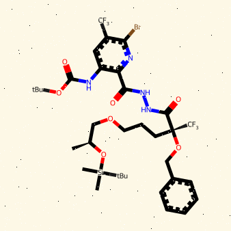 C[C@@H](COCCC[C@@](OCc1ccccc1)(C(=O)NNC(=O)c1nc(Br)c(C(F)(F)F)cc1NC(=O)OC(C)(C)C)C(F)(F)F)O[Si](C)(C)C(C)(C)C